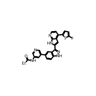 CCC(=O)Nc1cncc(-c2ccc3[nH]nc(-c4cc5c(-c6ccc(F)s6)ccnc5[nH]4)c3c2)c1